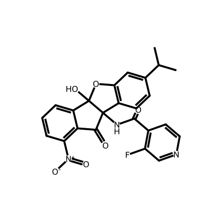 CC(C)c1ccc2c(c1)OC1(O)c3cccc([N+](=O)[O-])c3C(=O)C21NC(=O)c1ccncc1F